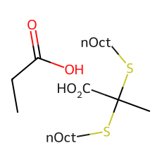 CCC(=O)O.CCCCCCCCSC(C)(SCCCCCCCC)C(=O)O